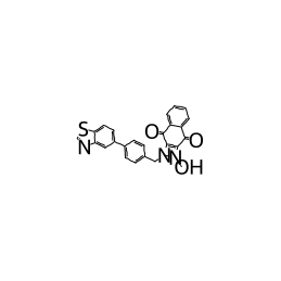 O=C1c2ccccc2C(=O)c2c1n(O)n2Cc1ccc(-c2ccc3scnc3c2)cc1